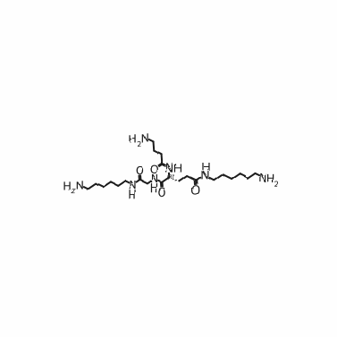 NCCCCCCNC(=O)CC[C@@H](NC(=O)CCCN)C(=O)NCC(=O)NCCCCCCN